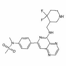 CN(c1ccc(-c2cc3nccnc3c(NCC3CNCCC3(F)F)n2)cc1)S(C)(=O)=O